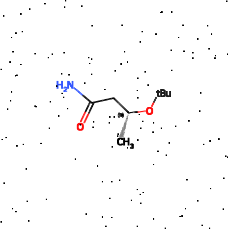 C[C@H](CC(N)=O)OC(C)(C)C